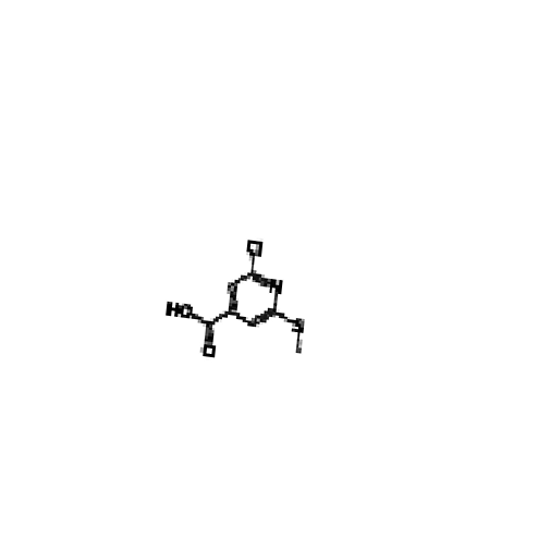 CSc1cc(C(=O)O)cc(Cl)n1